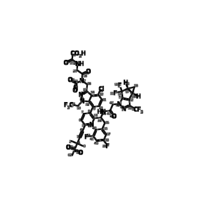 CC(C)(C#Cc1ccc(-c2ccc(Cl)c3c(CN(C(=O)CNC(=O)C(=O)O)[SH](=O)=O)nn(CC(F)(F)F)c23)c(C(Cc2cc(F)cc(F)c2)NC(=O)Cn2nc(C(F)(F)F)c3c2C(F)(F)[C@@H]2C[C@H]32)n1)S(C)(=O)=O